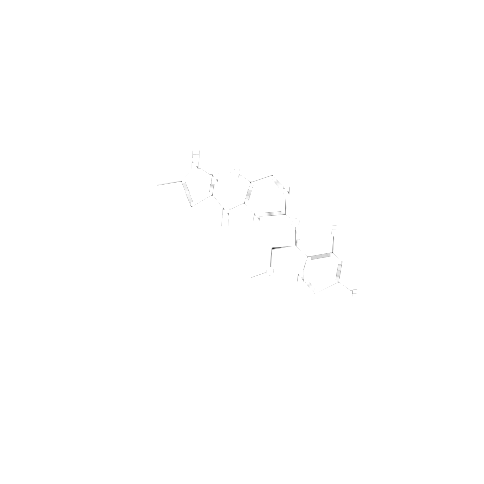 COC[C@@H](Oc1ncc(Cl)c(Nc2cc(C)[nH]n2)n1)c1ncc(F)cc1F